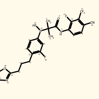 CC(C)(C(=O)Nc1ccc(C#N)c(C(F)(F)F)c1F)N(S)c1ccc(CCCc2ncco2)c(F)c1